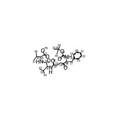 COC(=O)C(NC(=O)C(NC(=O)CCC(=O)[C@H](Cc1ccccc1)NC(=O)OC(C)(C)C)C(C)C)C(C)C